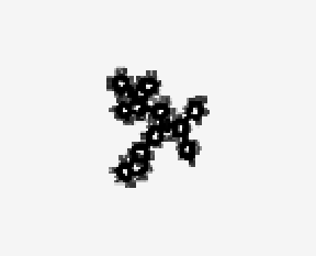 c1ccc(-c2cc(-c3ccccc3)cc(N(c3ccc(-c4ccc5c(ccc6ccccc65)c4)cc3)c3cccc(-c4cc5ccccc5c5c4c4ccccc4n5-c4ccccc4)c3)c2)cc1